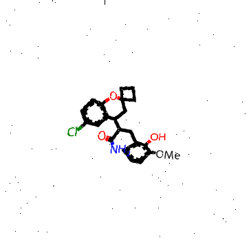 COc1cccc(CC(C(N)=O)C2CC3(CCC3)Oc3ccc(Cl)cc32)c1O